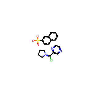 ClC(c1cnccn1)=[N+]1CCCC1.O=S(=O)([O-])c1ccc2ccccc2c1